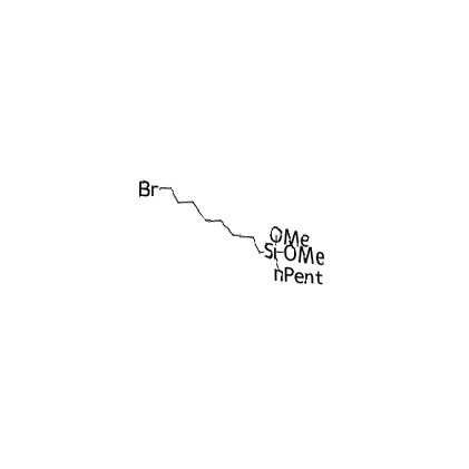 CCCCC[Si](CCCCCCCCBr)(OC)OC